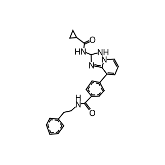 O=C(NCCc1ccccc1)c1ccc(C2=CC=CN3NC(NC(=O)C4CC4)N=C23)cc1